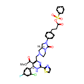 COC(=O)C1=C(CN2CCN3C(=O)N(c4ccc(CCC(=O)OS(=O)(=O)c5ccccc5)cc4)C[C@@H]3C2)N=C(c2nccs2)N[C@H]1c1ccc(F)cc1Cl